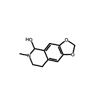 CN1CCc2cc3c(cc2C1O)OCO3